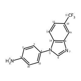 Nc1ccc(-n2cnc3cc(C(F)(F)F)ccc32)cc1